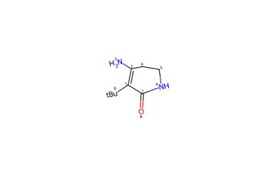 CC(C)(C)C1=C(N)CCNC1=O